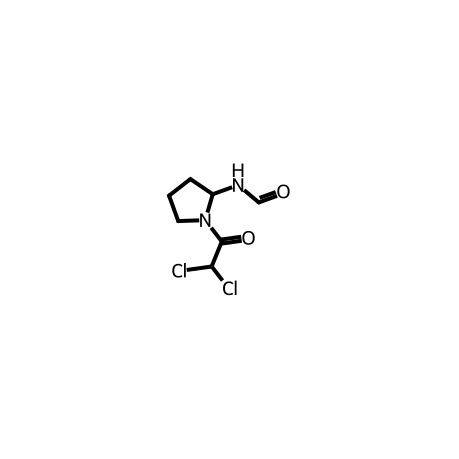 O=CNC1CCCN1C(=O)C(Cl)Cl